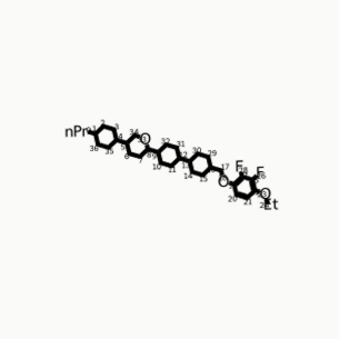 CCCC1CCC(C2CCC(C3CCC(C4CCC(COc5ccc(OCC)c(F)c5F)CC4)CC3)OC2)CC1